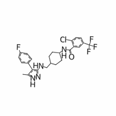 Cc1[nH]nc(NCC2CCC(NC(=O)c3cc(C(F)(F)F)ccc3Cl)CC2)c1-c1ccc(F)cc1